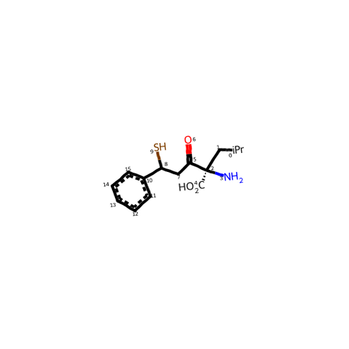 CC(C)C[C@](N)(C(=O)O)C(=O)CC(S)c1ccccc1